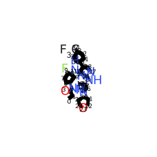 C=CC(=O)Nc1ccc(F)c(Nc2nc(Nc3cnn(C4CCOCC4)c3)ncc2-c2ccc(C(F)(F)F)cc2)c1